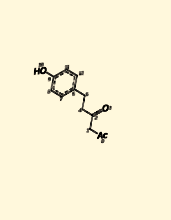 CC(=O)CC(=O)CCc1ccc(O)cc1